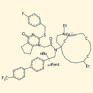 CCCCC(CN(C(=O)Cn1c(SCc2ccc(F)cc2)nc(=O)c2c1CCC2)C1(CCN(CC)CC)C/C=C\CCCCCC(CC)CCCC1)(c1ccc(-c2ccc(C(F)(F)F)cc2)cc1)[C@@H](C)CCC